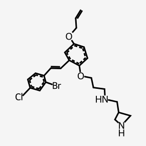 C=CCOc1ccc(OCCCNCC2CNC2)c(/C=C/c2ccc(Cl)cc2Br)c1